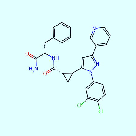 NC(=O)[C@H](Cc1ccccc1)NC(=O)[C@H]1CC1c1cc(-c2cccnc2)nn1-c1ccc(Cl)c(Cl)c1